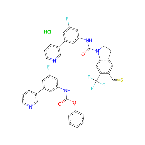 Cl.O=C(Nc1cc(F)cc(-c2cccnc2)c1)N1CCc2cc(C=S)c(C(F)(F)F)cc21.O=C(Nc1cc(F)cc(-c2cccnc2)c1)Oc1ccccc1